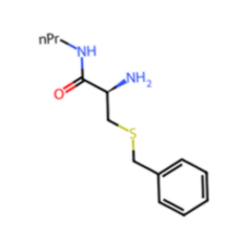 CCCNC(=O)[C@@H](N)CSCc1ccccc1